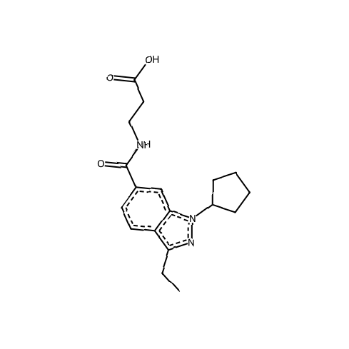 CCc1nn(C2CCCC2)c2cc(C(=O)NCCC(=O)O)ccc12